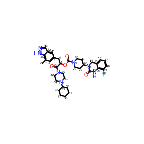 Cc1cc(CC(OC(=O)N2CCC(N3Cc4cccc(F)c4NC3=O)CC2)C(=O)N2CCN(C3CCCCC3)CC2)cc2cn[nH]c12